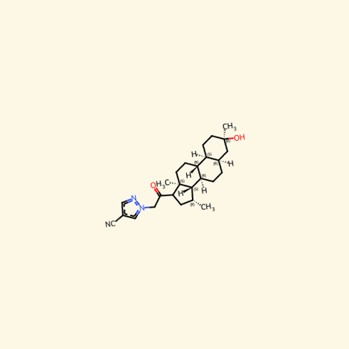 C[C@@H]1CC(C(=O)Cn2cc(C#N)cn2)[C@@]2(C)CC[C@H]3[C@@H](CC[C@@H]4C[C@](C)(O)CC[C@@H]43)[C@H]12